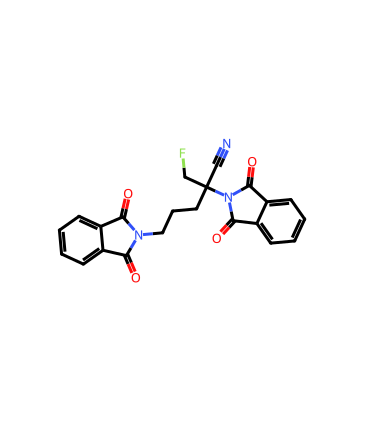 N#CC(CF)(CCCN1C(=O)c2ccccc2C1=O)N1C(=O)c2ccccc2C1=O